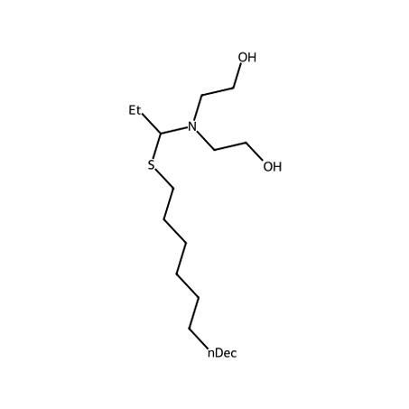 CCCCCCCCCCCCCCCCSC(CC)N(CCO)CCO